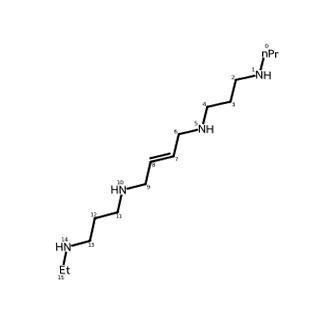 CCCNCCCNCC=CCNCCCNCC